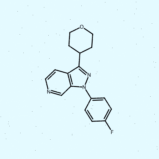 Fc1ccc(-n2nc(C3CCOCC3)c3ccncc32)cc1